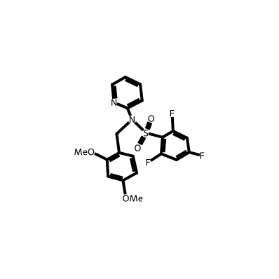 COc1ccc(CN(c2ccccn2)S(=O)(=O)c2c(F)cc(F)cc2F)c(OC)c1